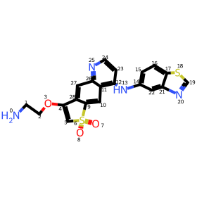 NCCOC1=CS(=O)(=O)c2cc3c(Nc4ccc5scnc5c4)ccnc3cc21